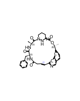 C[C@@H]1NC(=O)[C@H](Cc2ccccc2)NC(=O)C/C=C/c2cc3cc(ccc3cn2)[C@@H](C)OC(=O)[C@@H]2CCCN(N2)C1=O